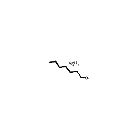 CCCCCCCBr.[MgH2]